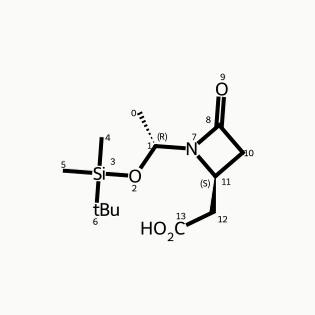 C[C@@H](O[Si](C)(C)C(C)(C)C)N1C(=O)C[C@H]1CC(=O)O